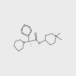 C[C@@](C(=O)OC1CC[N+](C)(C)CC1)(c1ccccc1)N1CCCCC1